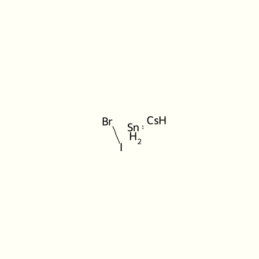 BrI.[CsH].[SnH2]